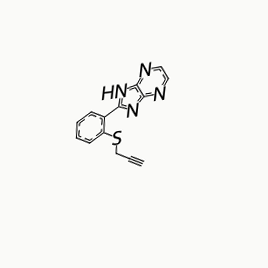 C#CCSc1ccccc1-c1nc2nccnc2[nH]1